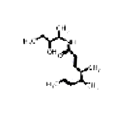 C/C=C/C(C)C(C)/C=C/C(=O)NC(C)C(O)CC